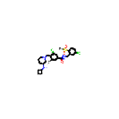 CCS(=O)(=O)c1ccc(Cl)cc1CNC(=O)c1cc(Cl)c(CN2CCC[C@H](NC3CCC3)C2)c(C(F)(F)F)c1